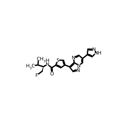 CC(C)[C@H](CF)NC(=O)c1cc(-c2cnn3cc(-c4cn[nH]c4)cnc23)cs1